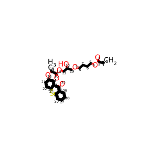 C=CC(=O)OCCCCOCC(O)COC(=O)C(C)Oc1ccc2sc3ccccc3c(=O)c2c1